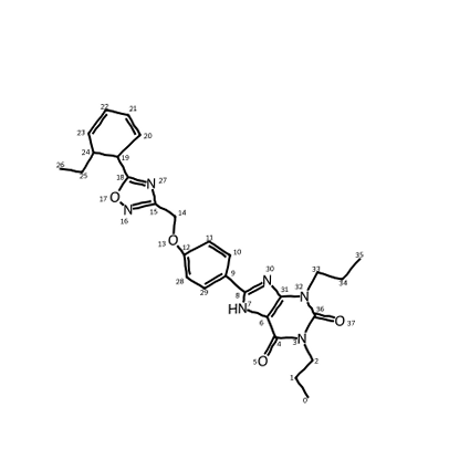 CCCn1c(=O)c2[nH]c(-c3ccc(OCc4noc(C5C=CC=CC5CC)n4)cc3)nc2n(CCC)c1=O